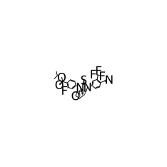 CC(C)OC(=O)c1ccc(N2C(=S)N(c3ccc(C#N)c(C(F)(F)F)c3)C[C@]23CCOC3)cc1F